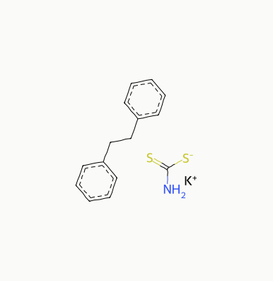 NC(=S)[S-].[K+].c1ccc(CCc2ccccc2)cc1